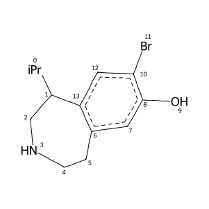 CC(C)C1CNCCc2cc(O)c(Br)cc21